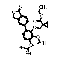 [2H]C([2H])Oc1ccc(-c2ccc3c(c2)COC3=O)c(OCC2(C(=O)OCC)CC2)c1OC([2H])[2H]